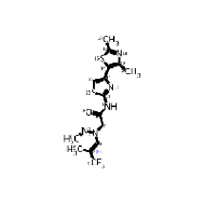 C=NN(/C=C(\C)C(F)(F)F)CC(=O)Nc1nc(-c2sc(C)nc2C)cs1